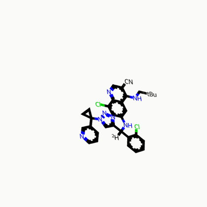 [2H]C(Nc1cc(Cl)c2ncc(C#N)c(NCC(C)(C)C)c2c1)(c1cn(C2(c3cccnc3)CC2)nn1)c1ccccc1Cl